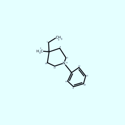 CCC1(C)CCN(c2ccccc2)CC1